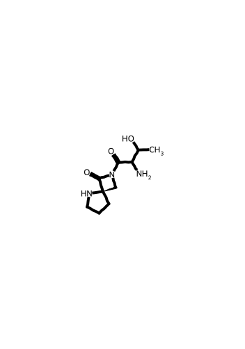 CC(O)C(N)C(=O)N1C[C@]2(CCCN2)C1=O